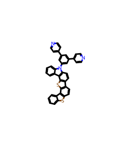 c1ccc2c(c1)sc1ccc3c4ccc5c(c6ccccc6n5-c5cc(-c6ccncc6)cc(-c6ccncc6)c5)c4sc3c12